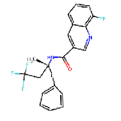 C[C@@](Cc1ccccc1)(CC(F)(F)F)NC(=O)c1cnc2c(F)cccc2c1